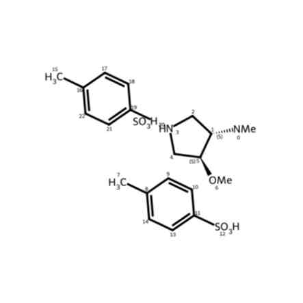 CN[C@H]1CNC[C@@H]1OC.Cc1ccc(S(=O)(=O)O)cc1.Cc1ccc(S(=O)(=O)O)cc1